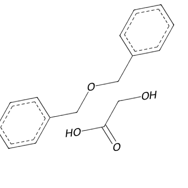 O=C(O)CO.c1ccc(COCc2ccccc2)cc1